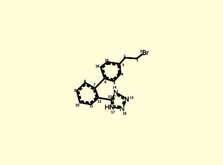 BrCCc1ccc(-c2ccccc2-c2nnn[nH]2)cc1